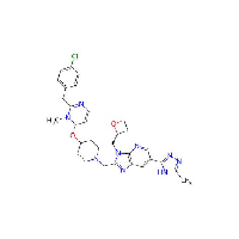 CN1C(Cc2ccc(Cl)cc2)=NC=CC1OC1CCN(Cc2nc3cc(-c4nnc(C(F)(F)F)[nH]4)cnc3n2C[C@@H]2CCO2)CC1